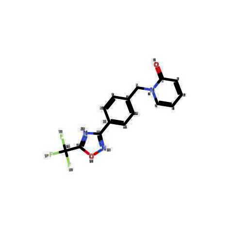 O=c1ccccn1Cc1ccc(-c2noc(C(F)(F)F)n2)cc1